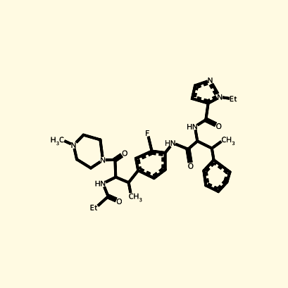 CCC(=O)NC(C(=O)N1CCN(C)CC1)C(C)c1ccc(NC(=O)C(NC(=O)c2ccnn2CC)C(C)c2ccccc2)c(F)c1